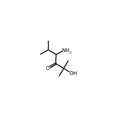 CC(C)C(N)C(=O)C(C)(C)O